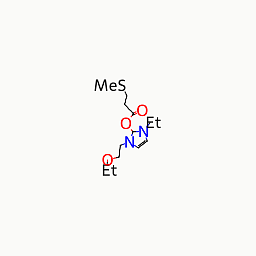 CCOCCN1C=CN(CC)C1OC(=O)CCSC